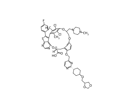 Cc1c(Cl)c2c(Cl)c(C)c1-c1c(-c3ccc(F)cc3)sc3ncnc(c13)O[C@@H](C(=O)O)Cc1cc(ccc1OCc1ccnc([C@H]3CC[C@H](OCC4COCO4)CC3)n1)OCC(CN1CCN(C)CC1)O2